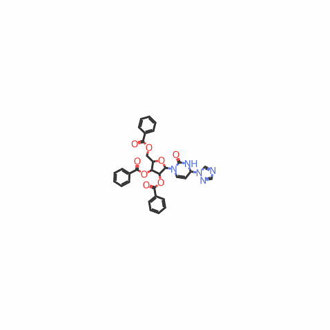 O=C(OCC1OC(N2C=CC(n3cncn3)NC2=O)C(OC(=O)c2ccccc2)C1OC(=O)c1ccccc1)c1ccccc1